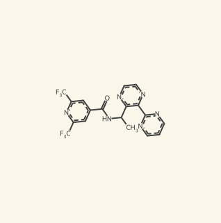 CC(NC(=O)c1cc(C(F)(F)F)nc(C(F)(F)F)c1)c1nccnc1-c1ncccn1